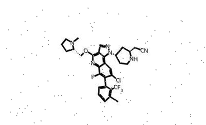 Cc1cccc(-c2c(Cl)cc3c(nc(OC[C@@H]4CCCN4C)c4cnn([C@H]5CCN[C@H](CC#N)C5)c43)c2F)c1C(F)(F)F